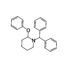 c1ccc(OC2CCCCN2C(c2ccccc2)c2ccccc2)cc1